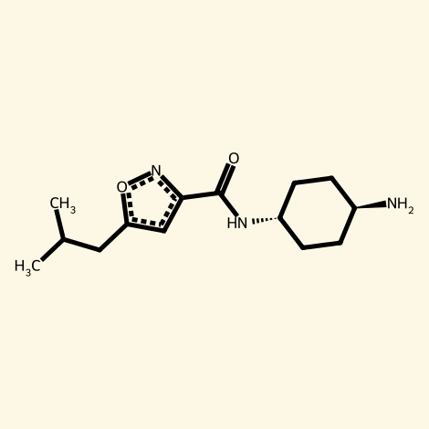 CC(C)Cc1cc(C(=O)N[C@H]2CC[C@H](N)CC2)no1